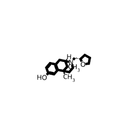 CC1[C@H]2Cc3ccc(O)cc3[C@@]1(C)CCN2C[C@@H]1CCCO1